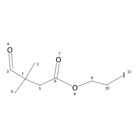 CC(C)(C=O)CC(=O)OCCI